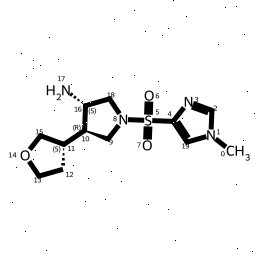 Cn1cnc(S(=O)(=O)N2C[C@@H]([C@@H]3CCOC3)[C@H](N)C2)c1